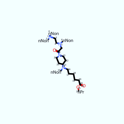 CCCCCCCCCN(CCCCCCCCC)CCN(CCCCCCCCC)CC(=O)N1CCC(N(CCCCCCCCC)CCCCCC(=O)OCCC)CC1